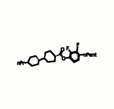 CCCCCc1ccc(OC(=O)[C@H]2CC[C@H]([C@H]3CC[C@H](CCC)CC3)CC2)c(F)c1F